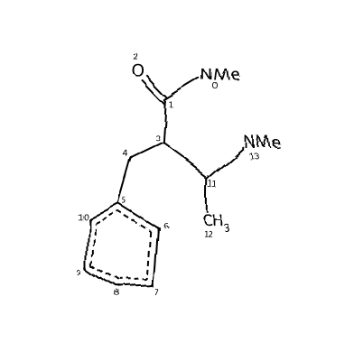 CNC(=O)C(Cc1ccccc1)C(C)NC